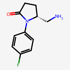 NC[C@H]1CCC(=O)N1c1ccc(F)cc1